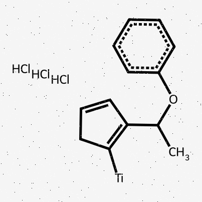 CC(Oc1ccccc1)C1=[C]([Ti])CC=C1.Cl.Cl.Cl